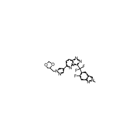 Cn1cc2cc(C(F)(F)c3nnc4ccc(-c5cnn(CC6COCO6)c5)nn34)c(F)cc2n1